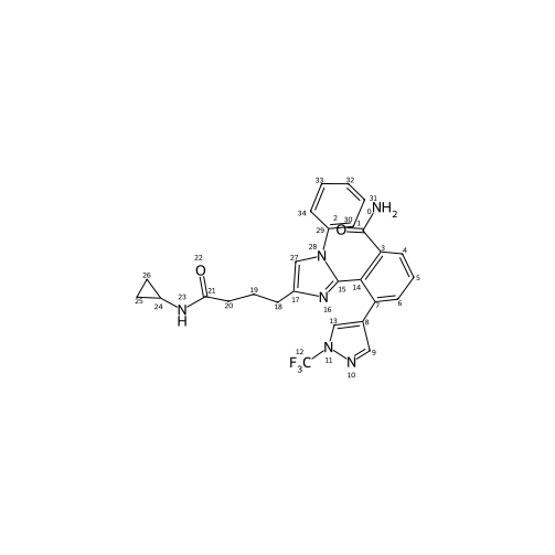 NC(=O)c1cccc(-c2cnn(C(F)(F)F)c2)c1-c1nc(CCCC(=O)NC2CC2)cn1-c1ccccc1